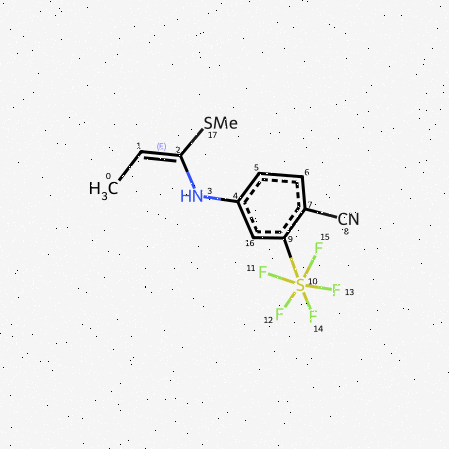 C/C=C(\Nc1ccc(C#N)c(S(F)(F)(F)(F)F)c1)SC